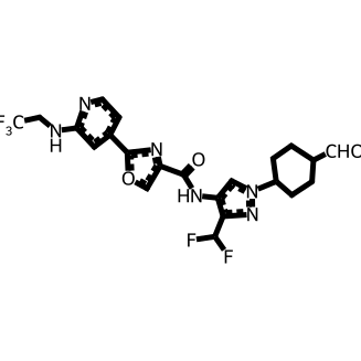 O=CC1CCC(n2cc(NC(=O)c3coc(-c4ccnc(NCC(F)(F)F)c4)n3)c(C(F)F)n2)CC1